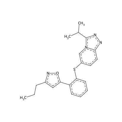 CCCc1cc(-c2ccccc2Sc2ccc3nnc(C(C)C)n3c2)on1